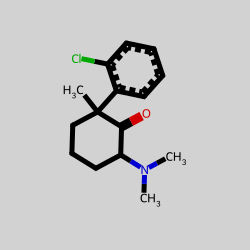 CN(C)C1CCCC(C)(c2ccccc2Cl)C1=O